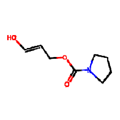 O=C(OCC=CO)N1CCCC1